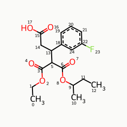 CCOC(=O)C(C(=O)OC(C)CC)C(CC(=O)O)c1cccc(F)c1